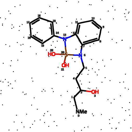 CNCC(O)CCN1c2ccccc2N(c2ccccc2)S1(O)O